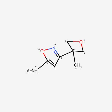 CC(=O)Nc1cc(C2(C)COC2)no1